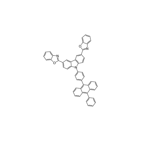 c1ccc(-c2c3ccccc3c(-c3ccc(-n4c5ccc(-c6nc7ccccc7o6)cc5c5cc(-c6nc7ccccc7o6)ccc54)cc3)c3ccccc23)cc1